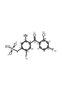 CCS(=O)(=O)Cc1cc(Br)c(C(=O)c2ccc(F)cc2Cl)cc1F